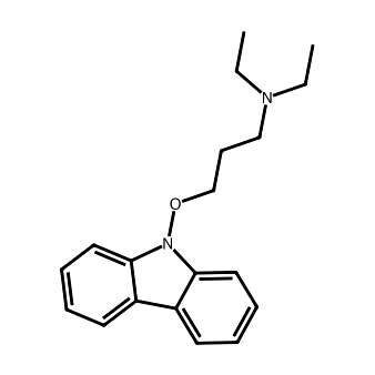 CCN(CC)CCCOn1c2ccccc2c2ccccc21